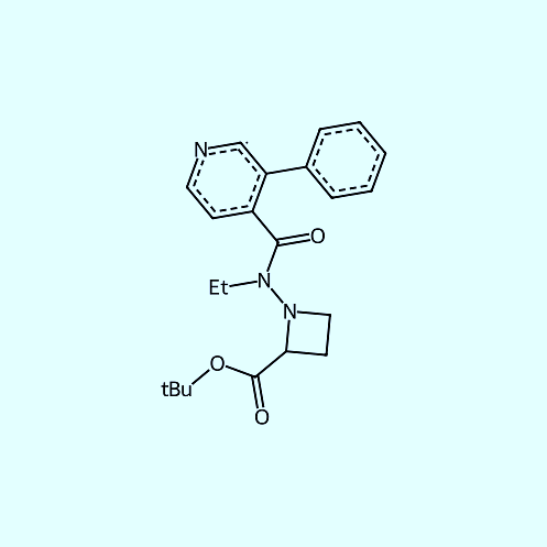 CCN(C(=O)c1ccn[c]c1-c1ccccc1)N1CCC1C(=O)OC(C)(C)C